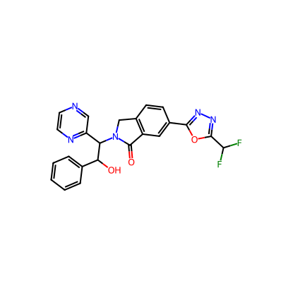 O=C1c2cc(-c3nnc(C(F)F)o3)ccc2CN1C(c1cnccn1)C(O)c1ccccc1